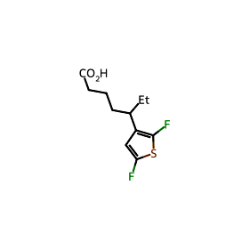 CCC(CCCC(=O)O)c1cc(F)sc1F